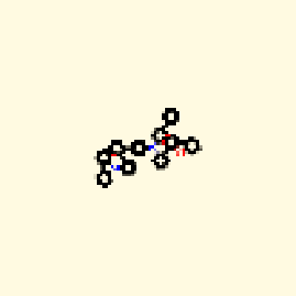 c1ccc(-c2ccc(N(c3ccc(-c4ccccc4-c4ccccc4-n4c5ccccc5c5ccccc54)cc3)c3ccccc3-c3cccc4c3oc3ccccc34)cc2)cc1